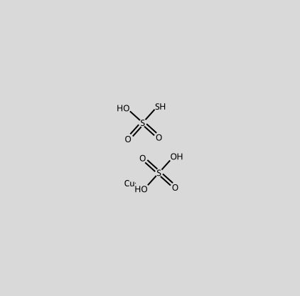 O=S(=O)(O)O.O=S(=O)(O)S.[Cu]